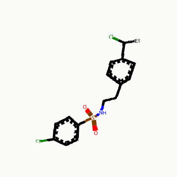 CCC(Cl)c1ccc(CCNS(=O)(=O)c2ccc(Cl)cc2)cc1